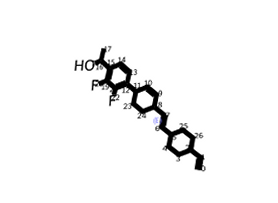 C=CC1CCC(/C=C/C2C=CC(c3ccc(C(C)O)c(F)c3F)CC2)CC1